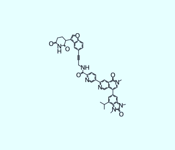 CC(C)c1cc(-c2cn(C)c(=O)c3cc(-c4ccc(C(=O)NCC#Cc5ccc6occ(C7CCC(=O)NC7=O)c6c5)nc4)ncc23)cc2c1n(C)c(=O)n2C